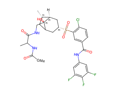 COC(=O)NC(C)C(=O)NC[C@@]1(O)C2C[C@@H](S(=O)(=O)c3cc(C(=O)Nc4cc(F)c(F)c(F)c4)ccc3Cl)C[C@@H]1[C@@H](C)C2